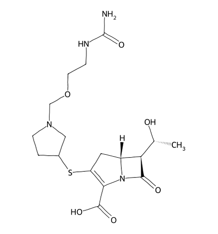 C[C@@H](O)[C@H]1C(=O)N2C(C(=O)O)=C(SC3CCN(COCCNC(N)=O)C3)C[C@H]12